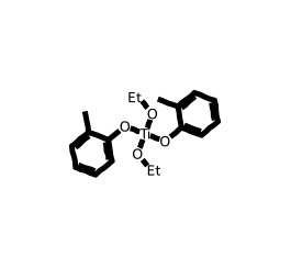 CC[O][Ti]([O]CC)([O]c1ccccc1C)[O]c1ccccc1C